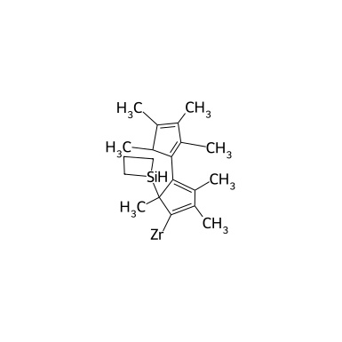 CC1=C(C)C(C)C(C2=C(C)C(C)=[C]([Zr])C2(C)[SiH]2CCC2)=C1C